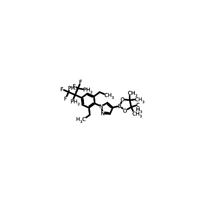 CCc1cc(C(P)(C(F)(F)P)C(F)(F)P)cc(CC)c1-n1cc(B2OC(C)(C)C(C)(C)O2)cn1